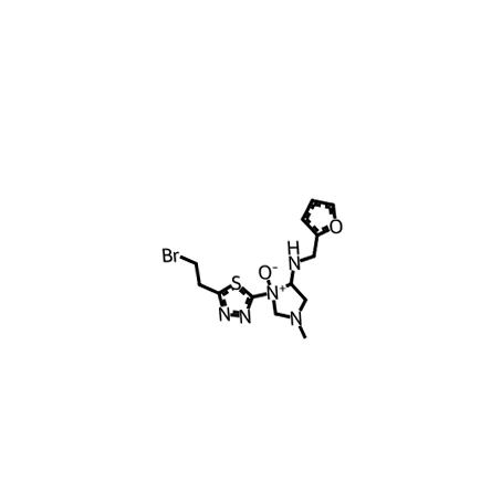 CN1CC(NCc2ccco2)[N+]([O-])(c2nnc(CCBr)s2)C1